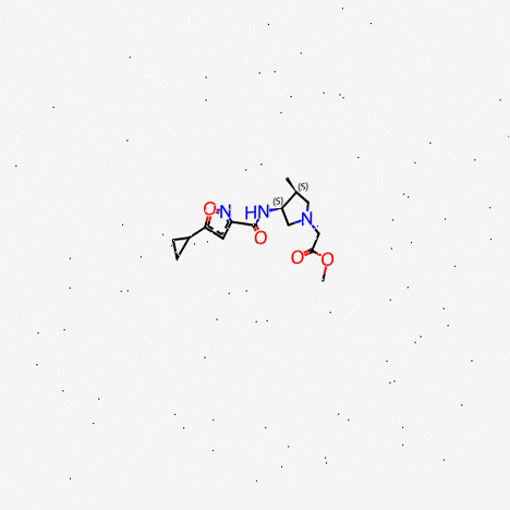 COC(=O)CN1C[C@H](C)[C@H](NC(=O)c2cc(C3CC3)on2)C1